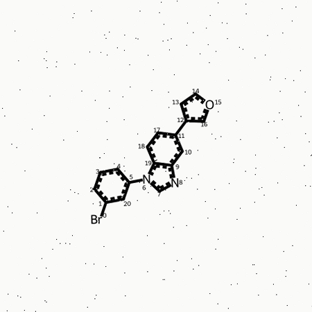 Brc1cccc(-n2cnc3cc(-c4ccoc4)ccc32)c1